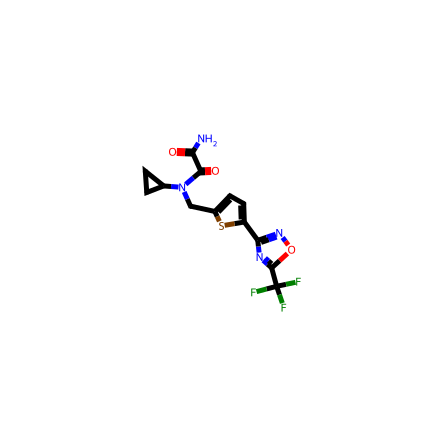 NC(=O)C(=O)N(Cc1ccc(-c2noc(C(F)(F)F)n2)s1)C1CC1